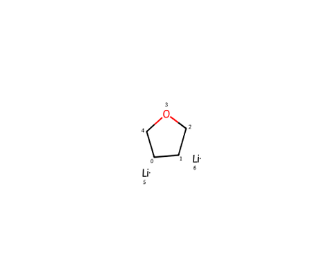 C1CCOC1.[Li].[Li]